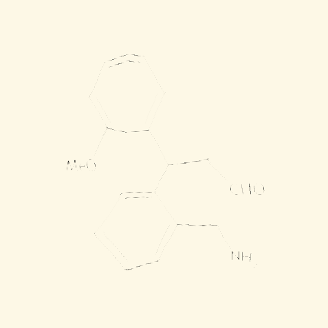 COc1ccccc1C(CC=O)c1ccccc1CN